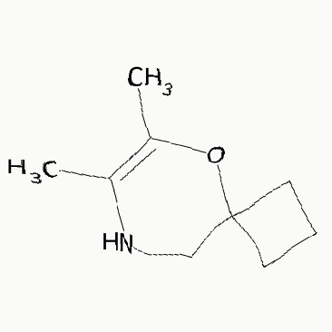 CC1=C(C)OC2(CCC2)CN1